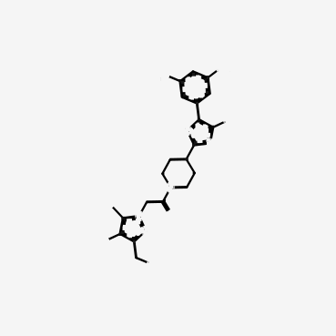 Cc1c(F)c(CC(=O)O)nn1CC(=O)N1CCC(c2nc(-c3cc(C(F)(F)F)cc(C(F)(F)F)c3)c(Cl)s2)CC1